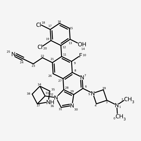 CN(C)C1CN(c2nc3c(F)c(-c4c(O)ccc(Cl)c4Cl)c(CCC#N)cc3c3c2ncn3C2C3CNC2C3)C1